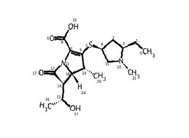 CC[C@@H]1C[C@H](SC2=C(C(=O)O)N3C(=O)[C@H]([C@@H](C)O)[C@H]3[C@H]2C)CN1C